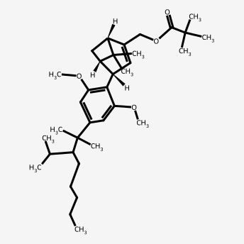 CCCCCC(C(C)C)C(C)(C)c1cc(OC)c([C@H]2C=C(COC(=O)C(C)(C)C)[C@H]3C[C@@H]2C3(C)C)c(OC)c1